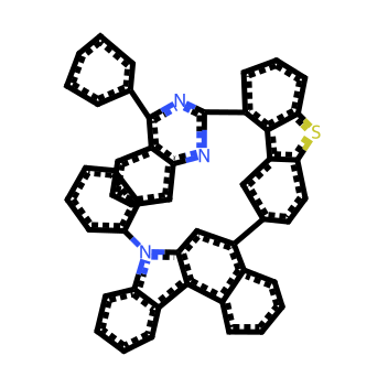 c1ccc(-c2nc(-c3cccc4sc5ccc(-c6cc7c(c8ccccc68)c6ccccc6n7-c6ccccc6)cc5c34)nc3ccccc23)cc1